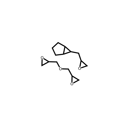 C(OCC1CO1)C1CO1.C1CC2C(C1)C2CC1CO1